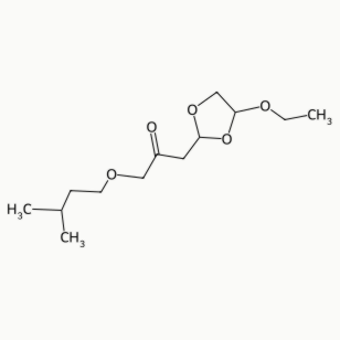 CCOC1COC(CC(=O)COCCC(C)C)O1